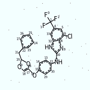 FC(F)(F)c1cc(Cl)c2nc(Nc3ccc(OC4=COC(Cc5ccccc5)O4)cc3)[nH]c2c1